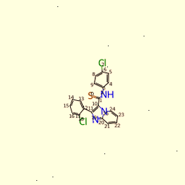 S=C(Nc1ccc(Cl)cc1)c1c(-c2ccccc2Cl)nc2ccccn12